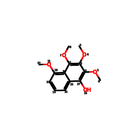 COc1c(OC)c(OC)c2c(OC)cccc2c1O